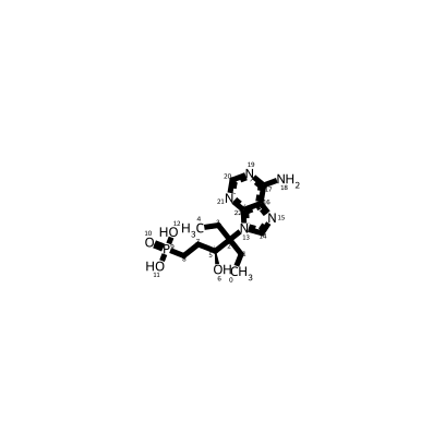 CCC(CC)([C@@H](O)CCP(=O)(O)O)n1cnc2c(N)ncnc21